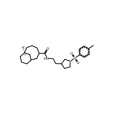 Cc1ccc(S(=O)(=O)N2CCC(CCNC(=O)C3CCC[C@@H]4CCCC(C3)C4)C2)cc1